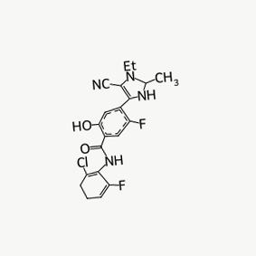 CCN1C(C#N)=C(c2cc(O)c(C(=O)NC3=C(Cl)CCC=C3F)cc2F)NC1C